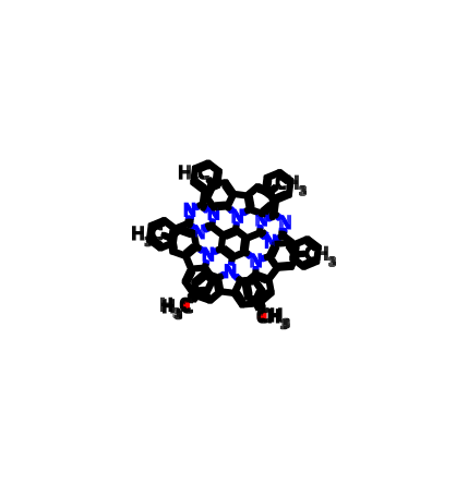 Cc1ccc2c(c1)c1cc(C)ccc1n2-c1c(-c2nc(-c3ccccc3)nc(-c3ccccc3)n2)c(-n2c3ccc(C)cc3c3cc(C)ccc32)c(-n2c3ccc(C)cc3c3cc(C)ccc32)c(-n2c3ccc(C)cc3c3cc(C)ccc32)c1-c1nc(-c2ccccc2)nc(-c2ccccc2)n1